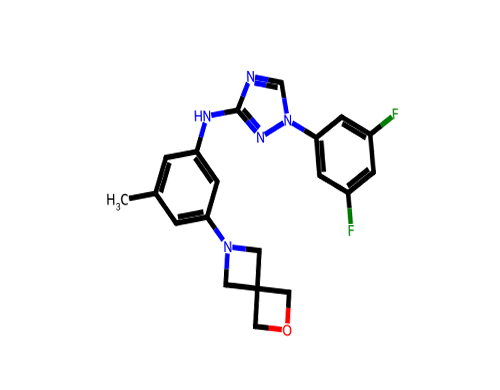 Cc1cc(Nc2ncn(-c3cc(F)cc(F)c3)n2)cc(N2CC3(COC3)C2)c1